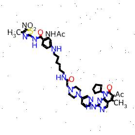 CC(=O)Nc1cc(NCCCCCCNC(=O)CN2CCN(c3ccc(Nc4ncc5c(C)c(C(C)=O)c(=O)n(C6CCCC6)c5n4)nc3)CC2)ccc1C(=O)Nc1nc(C)c([N+](=O)[O-])s1